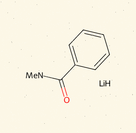 CNC(=O)c1ccccc1.[LiH]